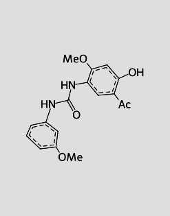 COc1cccc(NC(=O)Nc2cc(C(C)=O)c(O)cc2OC)c1